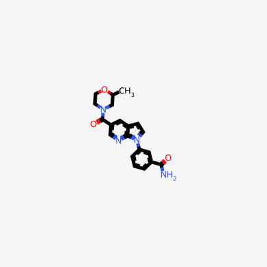 CC1CN(C(=O)c2cnc3c(ccn3-c3cccc(C(N)=O)c3)c2)CCO1